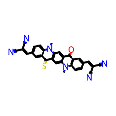 Cn1c2ccc(C=C(C#N)C#N)cc2c(=O)c2cc3c(cc21)c(=S)c1cc(C=C(C#N)C#N)ccc1n3C